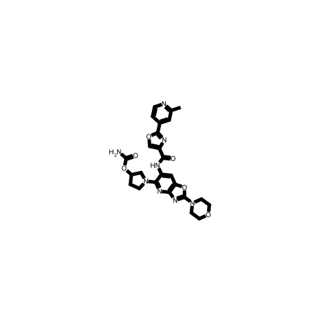 Cc1cc(-c2nc(C(=O)Nc3cc4oc(N5CCOCC5)nc4nc3N3CCC(OC(N)=O)C3)co2)ccn1